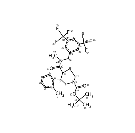 Cc1ccccc1[C@H]1CN(C(=O)OC(C)(C)C)CCC1C(=O)N(C)Cc1cc(C(F)(F)F)cc(C(F)(F)F)c1